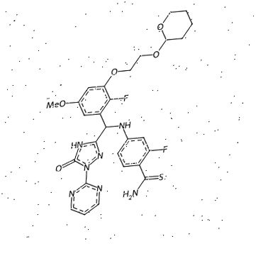 COc1cc(OCCOC2CCCCO2)c(F)c(C(Nc2ccc(C(N)=S)c(F)c2)c2nn(-c3ncccn3)c(=O)[nH]2)c1